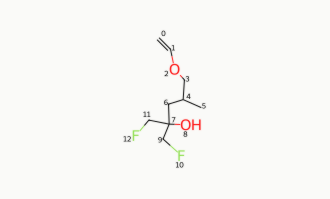 C=COCC(C)CC(O)(CF)CF